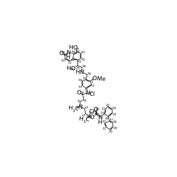 COc1cc(N(Cl)C(=O)CCN(C)CCC(C)(C)OC(=O)Nc2ccccc2-c2ccccc2)ccc1CNCC(O)c1ccc(O)c2[nH]c(=O)ccc12